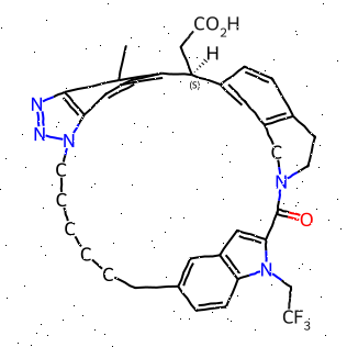 Cc1c2ccc3c1nnn3CCCCCCc1ccc3c(c1)cc(n3CC(F)(F)F)C(=O)N1CCc3ccc(cc3C1)[C@@H]2CC(=O)O